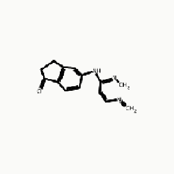 C=N/C=C\C(=N/C)Nc1ccc2c(c1)CCC2=O